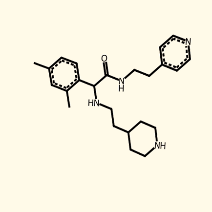 Cc1ccc(C(NCCC2CCNCC2)C(=O)NCCc2ccncc2)c(C)c1